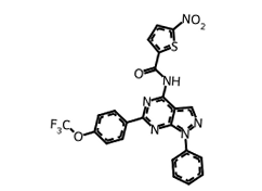 O=C(Nc1nc(-c2ccc(OC(F)(F)F)cc2)nc2c1cnn2-c1ccccc1)c1ccc([N+](=O)[O-])s1